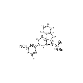 Cc1cc(C#N)nc(N2CCC3(CC2)c2ccccc2C[C@H]3N[S+]([O-])C(C)(C)C)n1